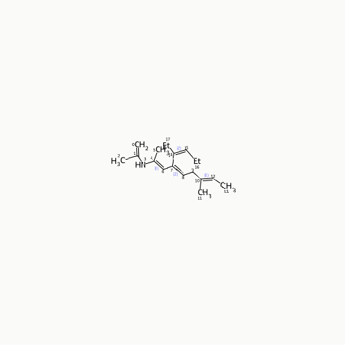 C=C(C)N/C(C)=C/C(=C/C/C(C)=C/C)C(=C\CC)/CC